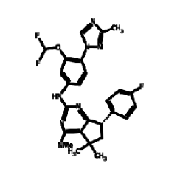 CNc1nc(Nc2ccc(-n3cnc(C)n3)c(OC(F)F)c2)nc2c1C(C)(C)C[C@H]2c1ccc(F)cc1